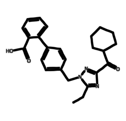 CCc1nc(C(=O)C2CCCCC2)nn1Cc1ccc(-c2ccccc2C(=O)O)cc1